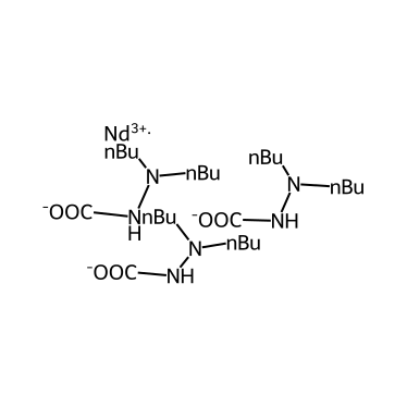 CCCCN(CCCC)NC(=O)[O-].CCCCN(CCCC)NC(=O)[O-].CCCCN(CCCC)NC(=O)[O-].[Nd+3]